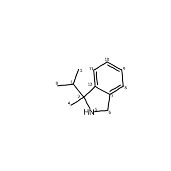 CC(C)C1(C)NCc2ccccc21